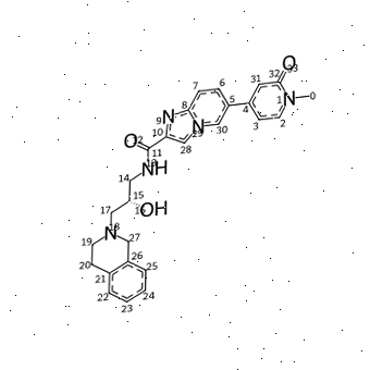 Cn1ccc(-c2ccc3nc(C(=O)NC[C@H](O)CN4CCc5ccccc5C4)cn3c2)cc1=O